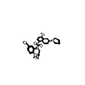 COc1ccc(Cl)cc1N(CC#N)S(=O)(=O)c1ccc(OC)c2c1CC[C@H](N1CCCC1)C2